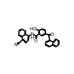 N#Cc1ccc(NC(=O)c2cc(C(=O)c3cccc4ccccc34)ccc2O)c2ccccc12